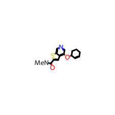 CNC(=O)c1cc2c(OC3C=CCCC3)cncc2s1